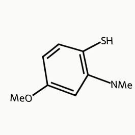 CNc1cc(OC)ccc1S